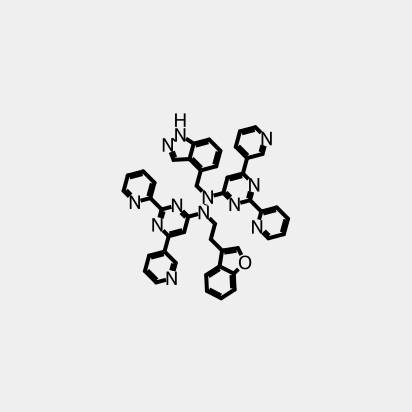 c1ccc(-c2nc(-c3cccnc3)cc(N(CCc3coc4ccccc34)N(Cc3cccc4[nH]ncc34)c3cc(-c4cccnc4)nc(-c4ccccn4)n3)n2)nc1